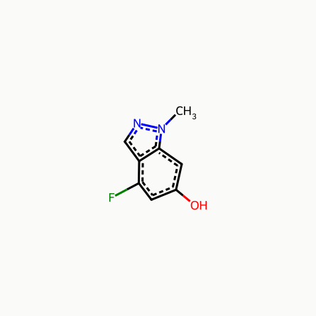 Cn1ncc2c(F)cc(O)cc21